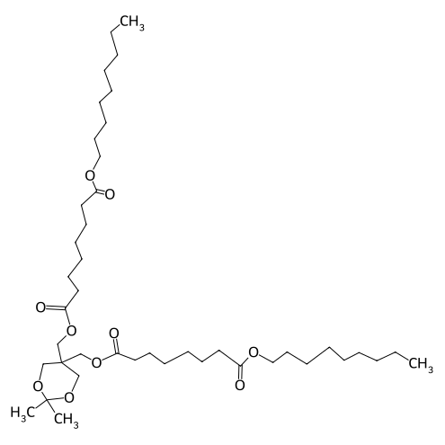 CCCCCCCCCOC(=O)CCCCCCC(=O)OCC1(COC(=O)CCCCCCC(=O)OCCCCCCCCC)COC(C)(C)OC1